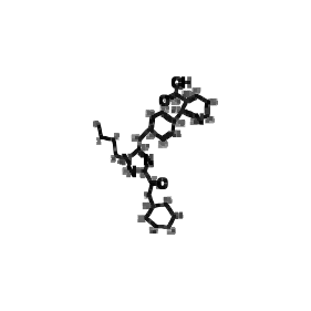 CCCCn1nc(C(=O)CC2CCCCC2)nc1Cc1ccc(-c2ncccc2C(=O)O)cc1